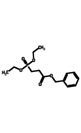 CCOP(=O)(CCC(=O)OCc1ccccc1)OCC